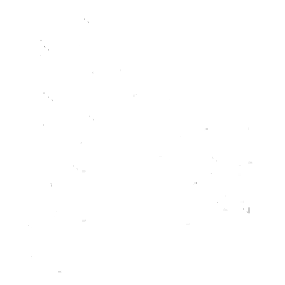 Nc1ncccc1-c1nc2ccc(-c3ccccc3)nc2n1-c1ccc(CN2C[C@H]3C[C@@H]2CN3)cc1